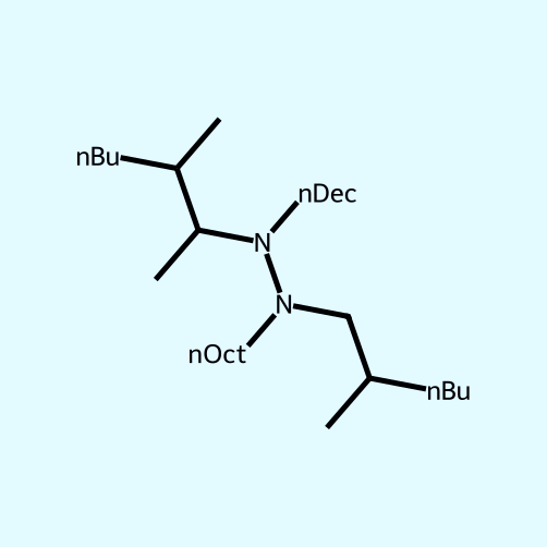 CCCCCCCCCCN(C(C)C(C)CCCC)N(CCCCCCCC)CC(C)CCCC